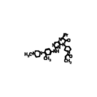 C=CC(=O)N1CC[C@H](n2c(=O)c(C(C)C)nc3cnc(Nc4ccc(N5CCN(C)CC5)c(C)c4)nc32)C1